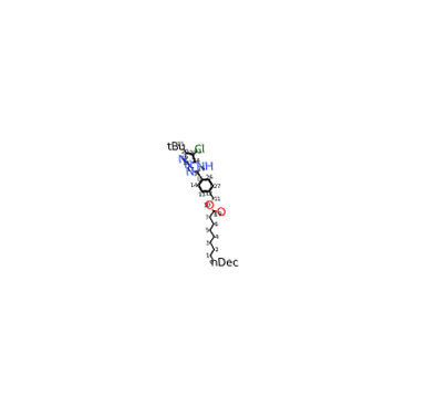 CCCCCCCCCCCCCCCCCC(=O)OCc1ccc(-c2nn3nc(C(C)(C)C)c(Cl)c3[nH]2)cc1